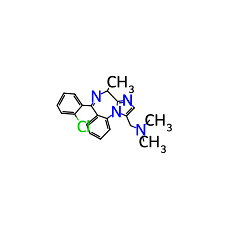 CC1N=C(c2ccccc2Cl)c2ccccc2-n2c(CN(C)C)cnc21